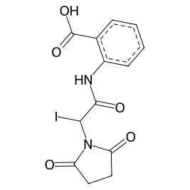 O=C(O)c1ccccc1NC(=O)C(I)N1C(=O)CCC1=O